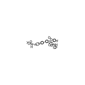 COCOc1ccc(F)cc1C(C(=O)Nc1nccs1)N1Cc2ccc(-c3ccc(N4CCN(CCNC(=O)OC(C)(C)C)CC4)cc3)cc2C1=O